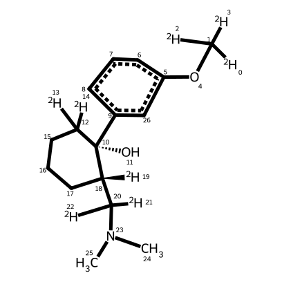 [2H]C([2H])([2H])Oc1cccc([C@]2(O)C([2H])([2H])CCC[C@@]2([2H])C([2H])([2H])N(C)C)c1